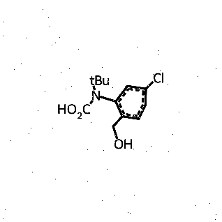 CC(C)(C)N(C(=O)O)c1cc(Cl)ccc1CO